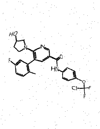 Cc1ccc(F)cc1-c1cc(C(=O)Nc2ccc(OC(F)(F)Cl)cc2)cnc1N1CCC(O)C1